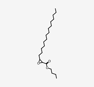 CCCCCCCCCCCCCCCC1OC1C(=O)OCCCC